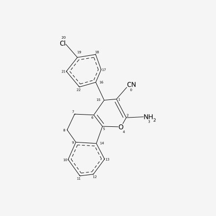 N#CC1=C(N)OC2=C(CCc3ccccc32)C1c1ccc(Cl)cc1